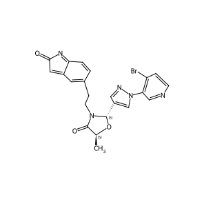 C[C@@H]1O[C@@H](c2cnn(-c3cnccc3Br)c2)N(CCc2ccc3c(c2)=CC(=O)N=3)C1=O